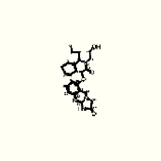 CCCC(C1CCCCC1)N(CCO)C(=O)COc1cccc2c1CN1CC(=O)NC1=N2